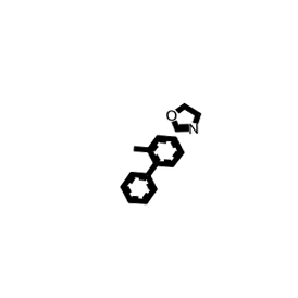 C1=NCCO1.Cc1ccccc1-c1ccccc1